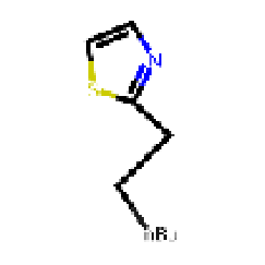 CCCCCCc1nccs1